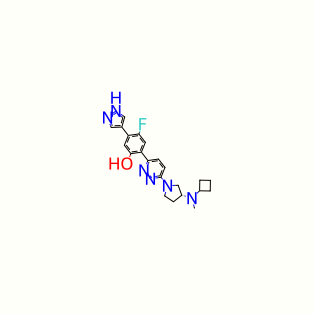 CN(C1CCC1)[C@@H]1CCN(c2ccc(-c3cc(F)c(-c4cn[nH]c4)cc3O)nn2)C1